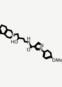 COC1=CC=C(n2cc(C(=O)NCCC(O)CN3CCC4=C(CCC=C4)C3)cn2)CC1